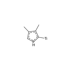 Cc1c[pH][c]([Ti])c1C